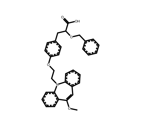 COC1=Cc2ccccc2N(CCOc2ccc(CC(OCc3ccccc3)C(=O)O)cc2)c2ccccc21